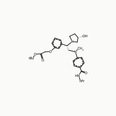 CCCNC(=O)c1ccc(N(C)C[C@H](c2cccc(OCC(=O)OC(C)(C)C)c2)N2CC[C@H](O)C2)cc1